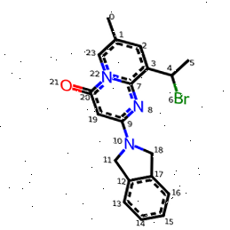 Cc1cc(C(C)Br)c2nc(N3Cc4ccccc4C3)cc(=O)n2c1